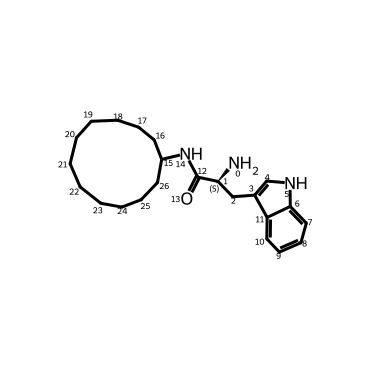 N[C@@H](Cc1c[nH]c2ccccc12)C(=O)NC1CCCCCCCCCCC1